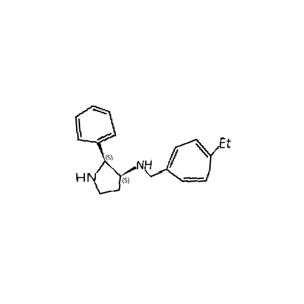 CCc1ccc(CN[C@H]2CCN[C@H]2c2ccccc2)cc1